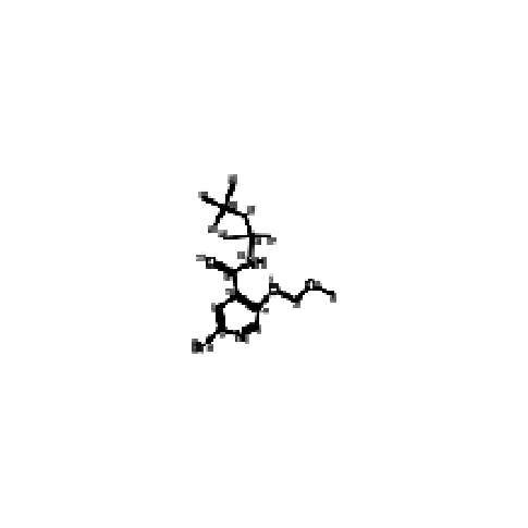 COCOc1cnc(Br)cc1C(=O)NC(C)(C)CC(C)(C)C